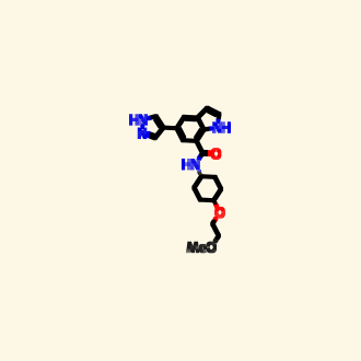 COCCO[C@H]1CC[C@H](NC(=O)c2cc(-c3cn[nH]c3)cc3cc[nH]c23)CC1